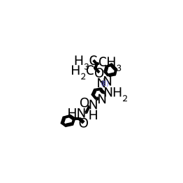 C=C(Oc1ccccc1/N=N/c1ccc(NC(=O)CNC(=O)c2ccccc2)nc1N)C(C)C